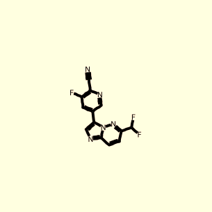 N#Cc1ncc(-c2cnc3ccc(C(F)F)nn23)cc1F